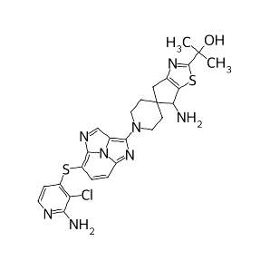 CC(C)(O)c1nc2c(s1)C(N)C1(CCN(c3nc4ccc(Sc5ccnc(N)c5Cl)c5ncc3n45)CC1)C2